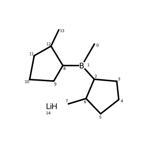 CB(C1CCCC1C)C1CCCC1C.[LiH]